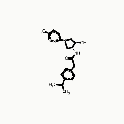 Cc1ccc(N2C[C@@H](O)[C@H](NC(=O)Cc3ccc(C(C)C)cc3)C2)nn1